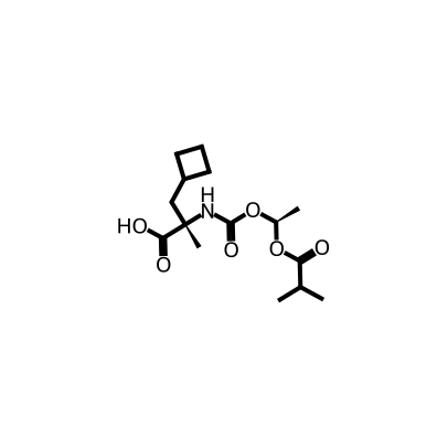 CC(C)C(=O)O[C@H](C)OC(=O)N[C@@](C)(CC1CCC1)C(=O)O